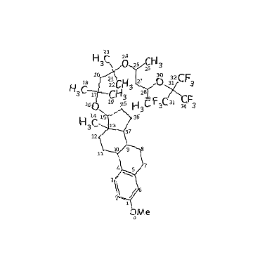 COc1ccc2c(c1)CCC1C2CCC2(C)C(OC(C)(C)CC(C)(C)OC(C)CC(C)OC(C(F)(F)F)(C(F)(F)F)C(F)(F)F)CCC12